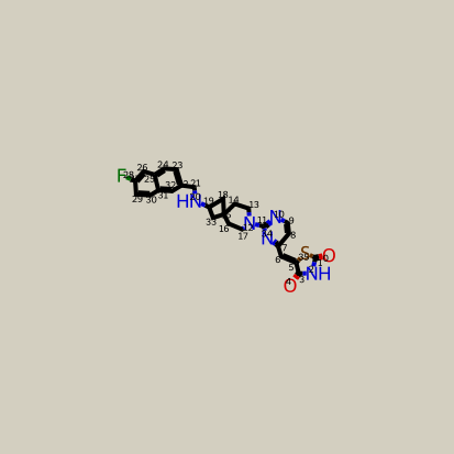 O=C1NC(=O)/C(=C/c2ccnc(N3CCC4(CC3)CC(NCc3ccc5cc(F)ccc5c3)C4)n2)S1